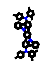 Cc1ccc(N(c2cc(C)cc(C)c2)c2ccc3c4cc5c(cc4n4c6ccccc6c2c34)c2ccc(N(c3ccc(C)cc3)c3cc(C)ccc3C)c3c4ccccc4n5c23)cc1